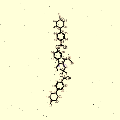 C/C=C1\C(=C/C(C)(C)OC(=O)c2ccc(C3CCC(C)CC3)cc2)C(CC)c2cc(OC(=O)c3ccc(C4CCC(C)CC4)cc3)ccc21